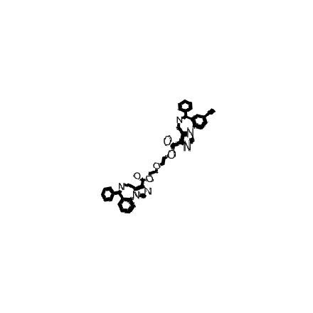 C#Cc1ccc2c(c1)C(c1ccccc1)=NCc1c(C(=O)OCCOCCOC(=O)c3ncn4c3CN=C(c3ccccc3)c3ccccc3-4)ncn1-2